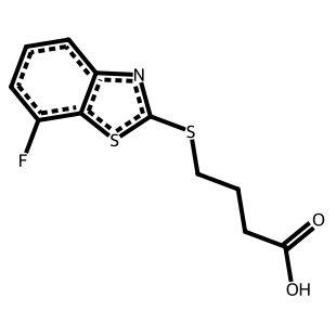 O=C(O)CCCSc1nc2cccc(F)c2s1